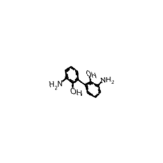 Nc1cccc(-c2cccc(N)c2O)c1O